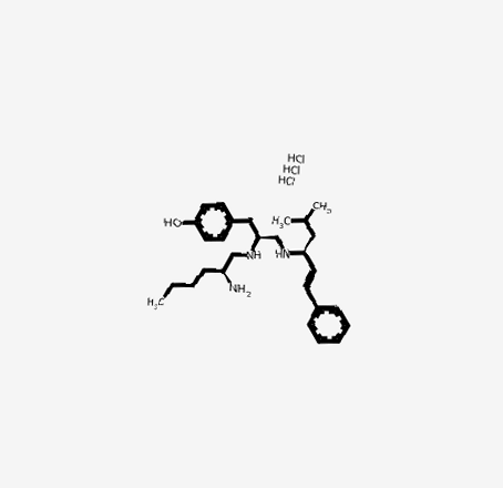 CCCC[C@H](N)CN[C@H](CN[C@H](C=Cc1ccccc1)CC(C)C)Cc1ccc(O)cc1.Cl.Cl.Cl